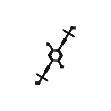 CC(C)(O)C#Cc1cc(Br)c(C#CC(C)(C)O)cc1Br